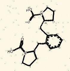 O=C(O)N1CCCC1Cc1ccccc1CC1CCCN1C(=O)O